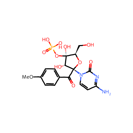 COc1ccc(C(=O)[C@@]2(n3ccc(N)nc3=O)O[C@H](CO)[C@](O)(OP(=O)(O)O)[C@H]2O)cc1